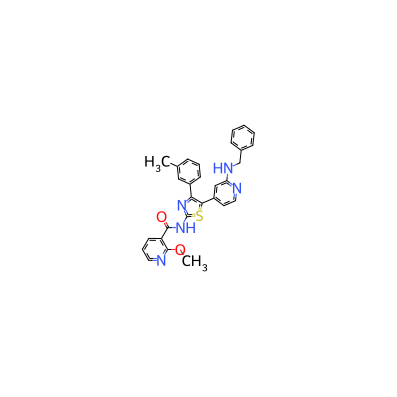 COc1ncccc1C(=O)Nc1nc(-c2cccc(C)c2)c(-c2ccnc(NCc3ccccc3)c2)s1